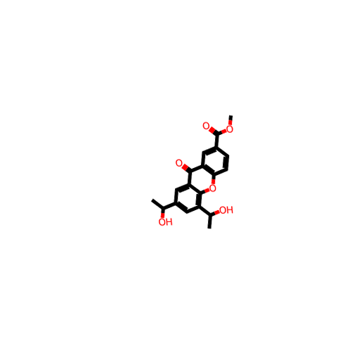 COC(=O)c1ccc2oc3c(C(C)O)cc(C(C)O)cc3c(=O)c2c1